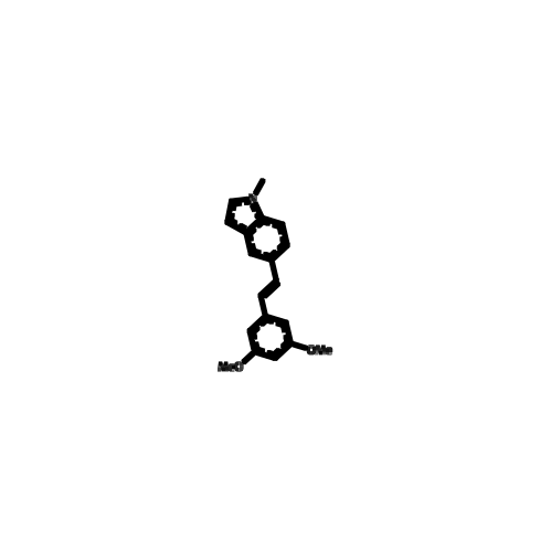 COc1cc(C=Cc2ccc3c(ccn3C)c2)cc(OC)c1